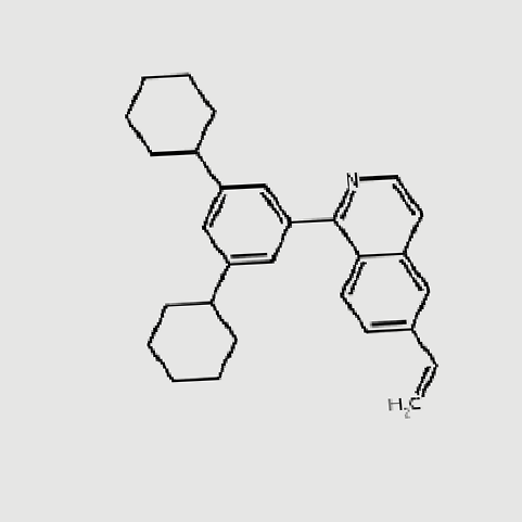 C=Cc1ccc2c(-c3cc(C4CCCCC4)cc(C4CCCCC4)c3)nccc2c1